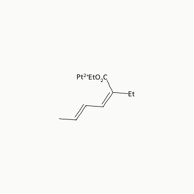 CC=CC=C(CC)C(=O)OCC.[Pt+2]